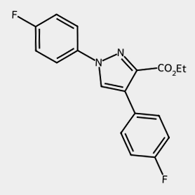 CCOC(=O)c1nn(-c2ccc(F)cc2)cc1-c1ccc(F)cc1